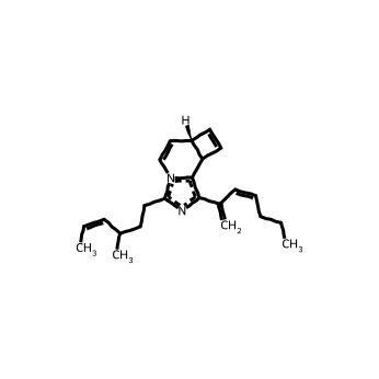 C=C(/C=C\CCC)c1nc(CCC(C)/C=C\C)n2c1C1C=C[C@H]1C=C2